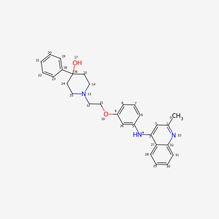 Cc1cc(Nc2cccc(OCCN3CCC(O)(c4ccccc4)CC3)c2)c2ccccc2n1